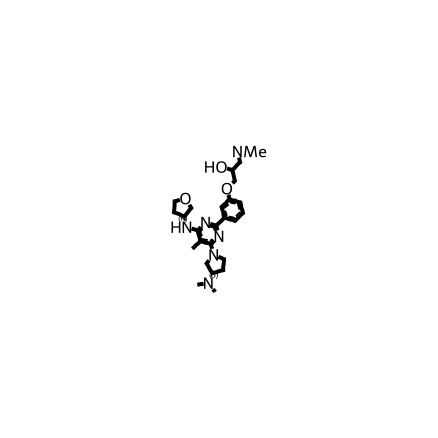 CNCC(O)COc1cccc(-c2nc(N[C@@H]3CCOC3)c(C)c(N3CC[C@H](N(C)C)C3)n2)c1